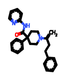 C=C(CCc1ccccc1)N1CCC(C(=O)Nc2ccccn2)(c2ccccc2)CC1